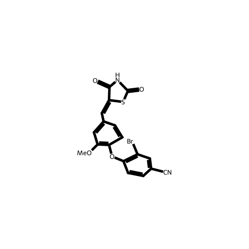 COc1cc(/C=C2\SC(=O)NC2=O)ccc1Oc1ccc(C#N)cc1Br